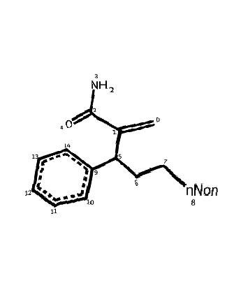 C=C(C(N)=O)C(CCCCCCCCCCC)c1ccccc1